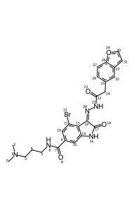 CN(C)CCCNC(=O)c1cc(Br)c2c(c1)NC(=O)/C2=N\NC(=O)Cc1ccc2occc2c1